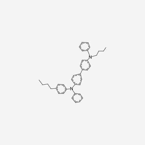 CCCCc1ccc(N(c2ccccc2)c2ccc(-c3ccc(N(CCCC)c4ccccc4)cc3)cc2)cc1